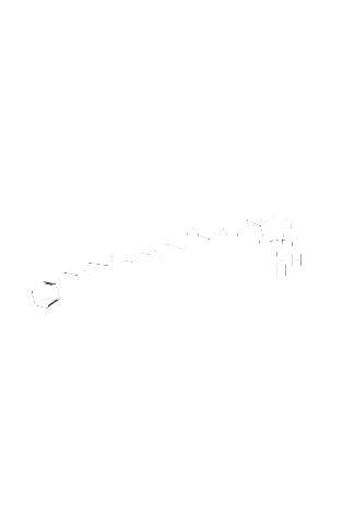 CC1(C)OCC(COCCOCCOCCOCCOCC2=CCCC=C2)O1